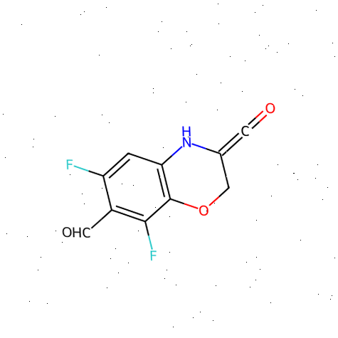 O=C=C1COc2c(cc(F)c(C=O)c2F)N1